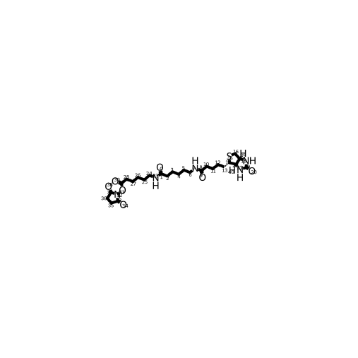 O=C(CCCCCNC(=O)CCCC[C@@H]1SC[C@@H]2NC(=O)N[C@@H]21)NCCCCCC(=O)ON1C(=O)CCC1=O